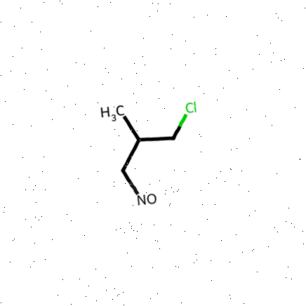 CC(CCl)CN=O